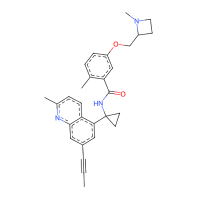 CC#Cc1cc(C2(NC(=O)c3cc(OCC4CCN4C)ccc3C)CC2)c2ccc(C)nc2c1